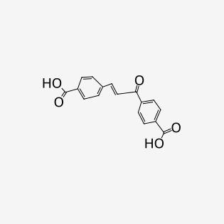 O=C(O)c1ccc(C=CC(=O)c2ccc(C(=O)O)cc2)cc1